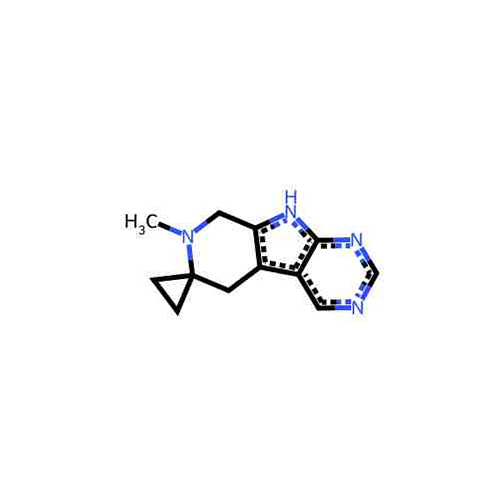 CN1Cc2[nH]c3ncncc3c2CC12CC2